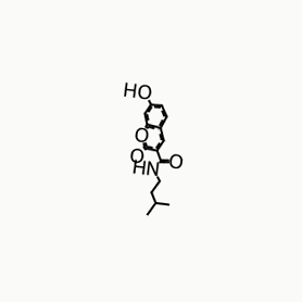 CC(C)CCNC(=O)c1cc2ccc(O)cc2oc1=O